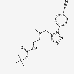 CN(CCNC(=O)OC(C)(C)C)Cc1cnnn1-c1ccc(C#N)cc1